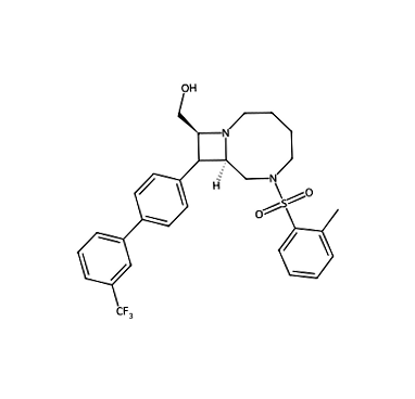 Cc1ccccc1S(=O)(=O)N1CCCCN2[C@H](CO)C(c3ccc(-c4cccc(C(F)(F)F)c4)cc3)[C@@H]2C1